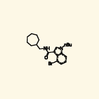 CCCCn1cc(C(=O)NCC2CCCCCC2)c2c(Br)cccc21